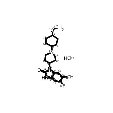 COC1CCC(N2CCC(n3c(=O)[nH]c4cc(F)c(C)cc43)CC2)CC1.Cl